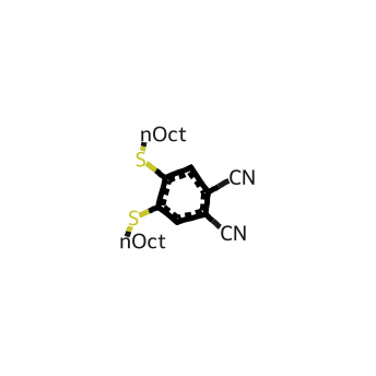 CCCCCCCCSc1cc(C#N)c(C#N)cc1SCCCCCCCC